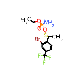 CCOP(N)(=O)OSC(C)c1ccc(C(F)(F)F)cc1Br